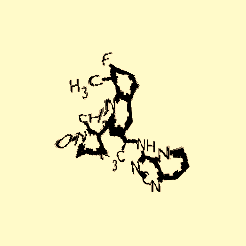 Cc1c(F)ccc2cc([C@@H](Nc3ncnc4cccnc34)C(F)(F)F)c(-c3ccc[n+]([O-])c3C)nc12